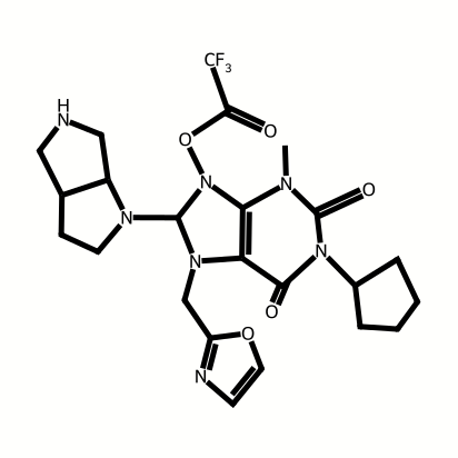 Cn1c2c(c(=O)n(C3CCCC3)c1=O)N(Cc1ncco1)C(N1CCC3CNCC31)N2OC(=O)C(F)(F)F